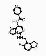 O=C(Nc1cnc(NCc2c(F)ccc3c2CCO3)n2cnnc12)c1ccncc1